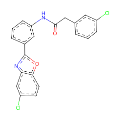 O=C(Cc1cccc(Cl)c1)Nc1cccc(-c2nc3cc(Cl)ccc3o2)c1